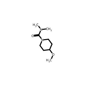 COC1CCN(C(=O)N(C)C)CC1